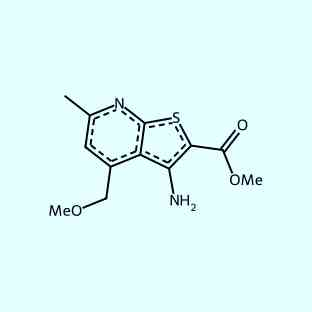 COCc1cc(C)nc2sc(C(=O)OC)c(N)c12